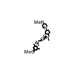 CNC1CCN(C2CCC(CN(C)C(=O)COCCN(C)Sc3c(C)cc(OC)cc3C)CC2)CC1